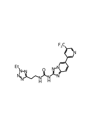 CCn1nnc(CCNC(=O)Nc2nc3ccc(-c4cncc(C(F)(F)F)c4)cn3n2)n1